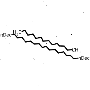 CCCCCCCCCCCCCC.CCCCCCCCCCCCCCCCCCCCCCCCCCCCCCCCCCCC